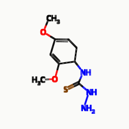 COC1=CCC(NC(=S)NN)C(OC)=C1